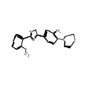 FC(F)(F)Oc1ccccc1C1=NCC(c2ccc(N3CCOCC3)c(C(F)(F)F)c2)=N1